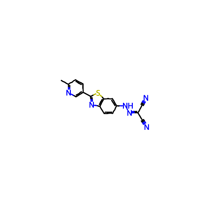 Cc1ccc(-c2nc3ccc(NN=C(C#N)C#N)cc3s2)cn1